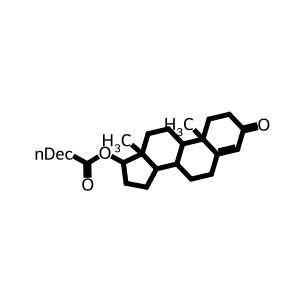 CCCCCCCCCCC(=O)OC1CCC2C3CCC4=CC(=O)CCC4(C)C3CCC12C